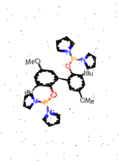 COc1cc(-c2cc(OC)cc(C(C)(C)C)c2OP(n2cccc2)n2cccc2)c(OP(n2cccc2)n2cccc2)c(C(C)(C)C)c1